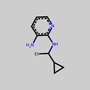 CCC(Nc1ncccc1N)C1CC1